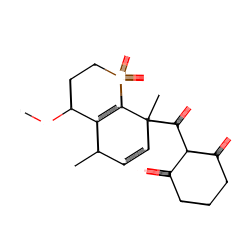 CCOC1CCS(=O)(=O)C2=C1C(C)C=CC2(C)C(=O)C1C(=O)CCCC1=O